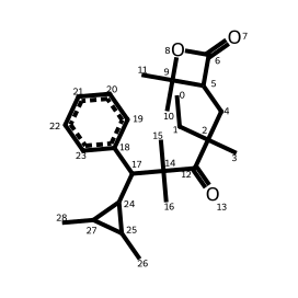 CCC(C)(CC1C(=O)OC1(C)C)C(=O)C(C)(C)C(c1ccccc1)C1C(C)C1C